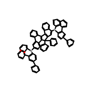 c1ccc(-c2ccc(N(c3ccccc3)c3ccc4c5c(c6ccccc6c4c3)-c3c(cc(N(c4ccccc4)c4ccc(-c6ccccc6)cc4-c4ccccc4)c4ccccc34)C5(c3ccccc3)c3ccccc3)c(-c3ccccc3)c2)cc1